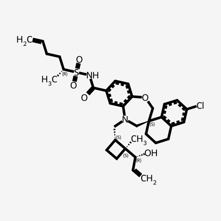 C=CCC[C@@H](C)S(=O)(=O)NC(=O)c1ccc2c(c1)N(C[C@H]1CC[C@]1(C)[C@H](O)C=C)C[C@@]1(CCCc3cc(Cl)ccc31)CO2